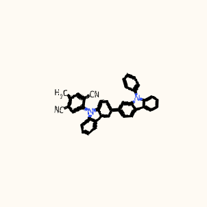 Cc1cc(C#N)c(-n2c3ccccc3c3cc(-c4ccc5c6ccccc6n(-c6ccccc6)c5c4)ccc32)cc1C#N